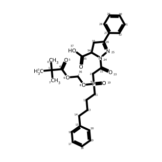 CC(C)(C)C(=O)OCOP(=O)(CCCCc1ccccc1)CC(=O)N1N=C(c2ccccc2)CC1C(=O)O